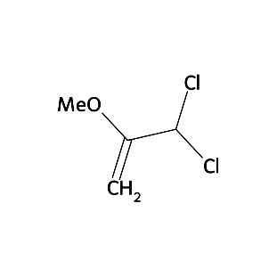 C=C(OC)C(Cl)Cl